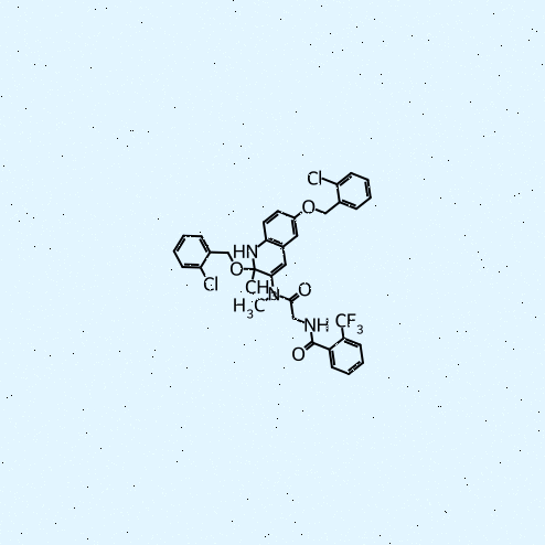 CN(C(=O)CNC(=O)c1ccccc1C(F)(F)F)C1=Cc2cc(OCc3ccccc3Cl)ccc2NC1(C)OCc1ccccc1Cl